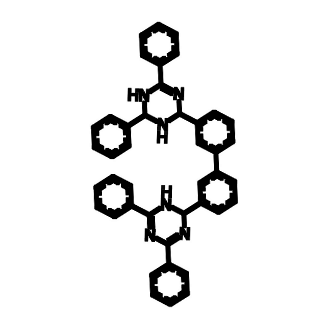 c1ccc(C2=NC(c3cccc(-c4cccc(C5N=C(c6ccccc6)NC(c6ccccc6)N5)c4)c3)NC(c3ccccc3)=N2)cc1